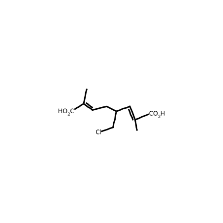 C/C(=C\CC(/C=C(\C)C(=O)O)CCl)C(=O)O